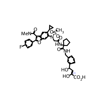 CNC(=O)c1c(-c2ccc(F)cc2)oc2cc(N(CC(=O)NC3(C(=O)NCc4cccc(C(O)/C=C(\O)C(=O)O)c4)CCCC3)S(C)(=O)=O)c(C3CC3)cc12